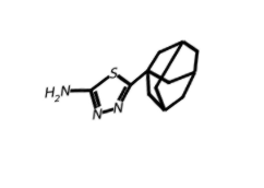 Nc1nnc(C23CC4CC(CC(C4)C2)C3)s1